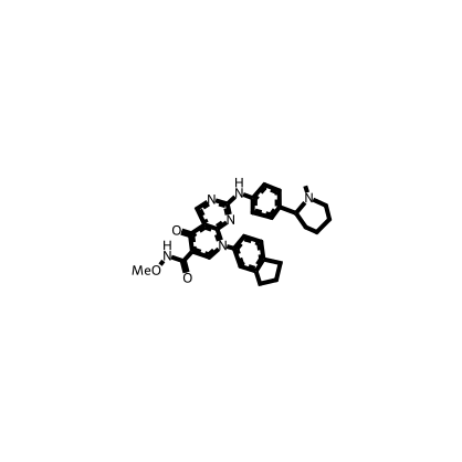 CONC(=O)c1cn(-c2ccc3c(c2)CCC3)c2nc(Nc3ccc(C4CCCCN4C)cc3)ncc2c1=O